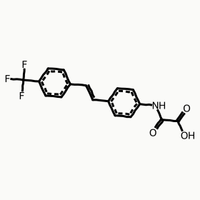 O=C(O)C(=O)Nc1ccc(C=Cc2ccc(C(F)(F)F)cc2)cc1